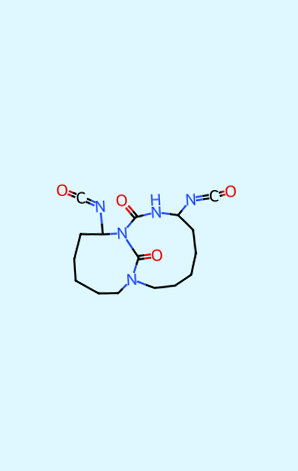 O=C=NC1CCCCCN2CCCCCC(N=C=O)N(C(=O)N1)C2=O